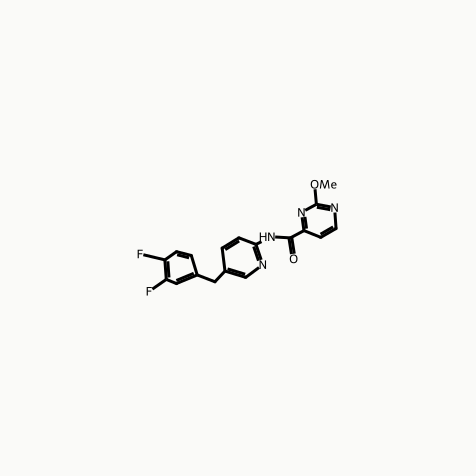 COc1nccc(C(=O)Nc2ccc(Cc3ccc(F)c(F)c3)cn2)n1